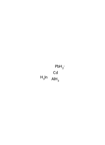 [AlH3].[Cd].[InH3].[PbH2]